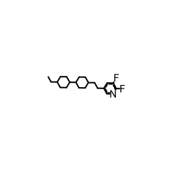 CCC1CCC(C2CCC(CCc3cnc(F)c(F)c3)CC2)CC1